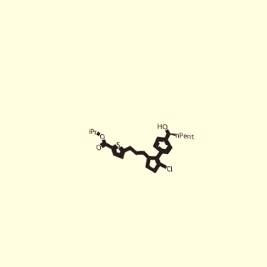 CCCCC[C@H](O)c1ccc(C2=C(Cl)CCC2CCCc2ccc(C(=O)OC(C)C)s2)cc1